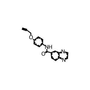 C#CCOc1ccc(NC(=O)c2ccc3nccnc3c2)cc1